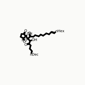 CCCCCC/C=C/CCCCCCCC(=O)C(O)(C(O)C(=O)CCCCCCCCCCCCC)C1(O)C(=O)CCC1=O